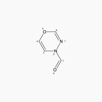 O=CN1C=COC=N1